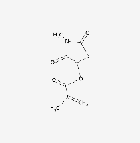 C=C(C)C(=O)OC1CC(=O)N(C)C1=O